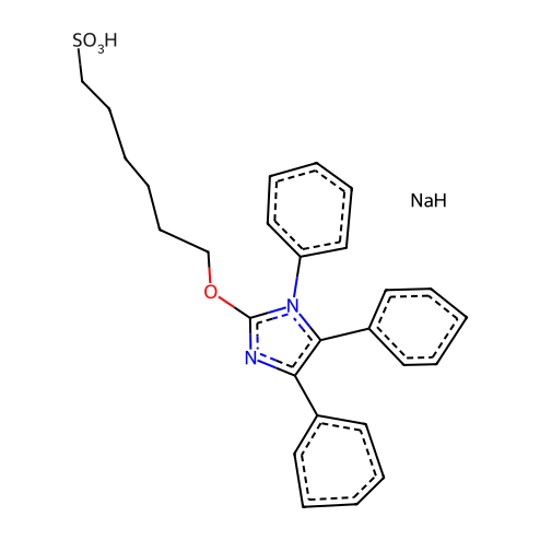 O=S(=O)(O)CCCCCCOc1nc(-c2ccccc2)c(-c2ccccc2)n1-c1ccccc1.[NaH]